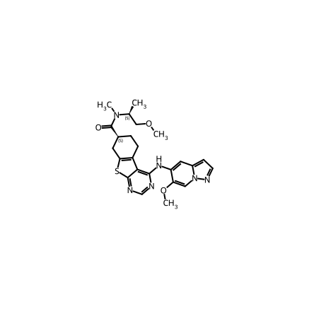 COC[C@H](C)N(C)C(=O)[C@H]1CCc2c(sc3ncnc(Nc4cc5ccnn5cc4OC)c23)C1